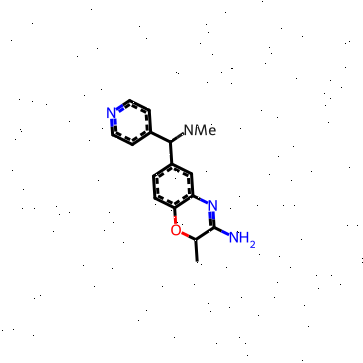 CNC(c1ccncc1)c1ccc2c(c1)N=C(N)C(C)O2